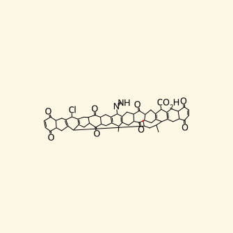 CC1C2=C3CC4C(=O)C5CC6=C(CC5C(=O)C4C2)C(C2=C(CC4C(=O)C=CC(=O)C4C2)C6Cl)C(C)CC(C)C2C4=C(CC5C(=O)C=CC(=O)C5C4)C(C(=O)O)C4=C2CC2C(=O)C5CC1=C(CC5C(=O)C2C4)C3N=N